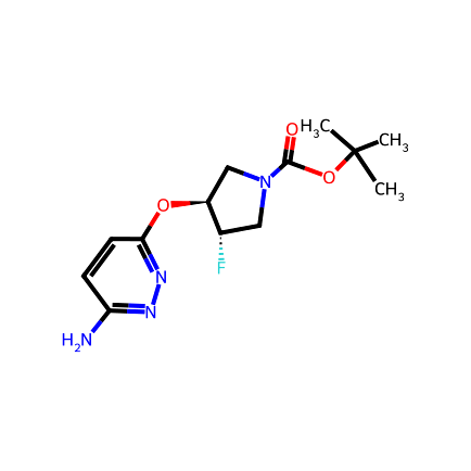 CC(C)(C)OC(=O)N1C[C@H](Oc2ccc(N)nn2)[C@@H](F)C1